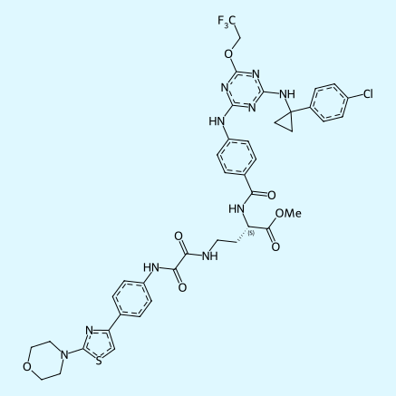 COC(=O)[C@H](CCNC(=O)C(=O)Nc1ccc(-c2csc(N3CCOCC3)n2)cc1)NC(=O)c1ccc(Nc2nc(NC3(c4ccc(Cl)cc4)CC3)nc(OCC(F)(F)F)n2)cc1